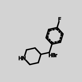 Br.Fc1ccc(CC2CCNCC2)cc1